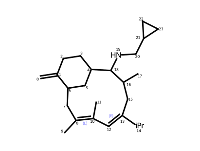 C=C1CCC2CC1C/C(C)=C(C)/C=C(/C(C)C)CC(C)C2NCC1CC1